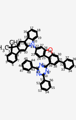 CC1(C)c2ccccc2-c2cc3c(cc21)c1ccccc1n3-c1ccc2c(c1)oc1cc(-c3ccccc3)cc(-c3nc(-c4ccccc4)nc(-c4ccccc4)n3)c12